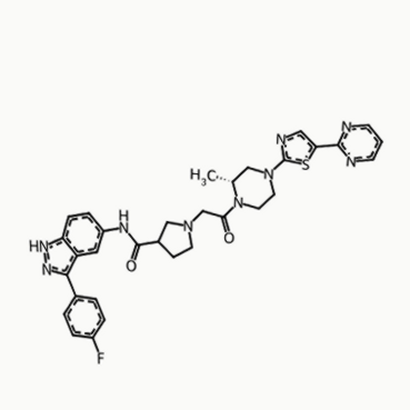 C[C@@H]1CN(c2ncc(-c3ncccn3)s2)CCN1C(=O)CN1CCC(C(=O)Nc2ccc3[nH]nc(-c4ccc(F)cc4)c3c2)C1